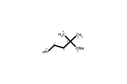 C[CH]CCCC(C)(C)OC